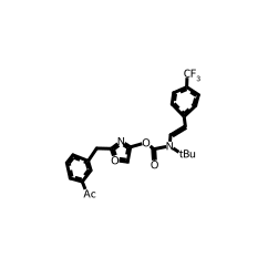 CC(=O)c1cccc(Cc2nc(OC(=O)N(C=Cc3ccc(C(F)(F)F)cc3)C(C)(C)C)co2)c1